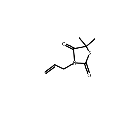 C=CCN1C(=O)SC(C)(C)C1=O